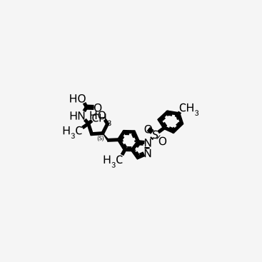 Cc1ccc(S(=O)(=O)n2ncc3c(C)c(C[C@H](CO)CC(C)(C)NC(=O)O)ccc32)cc1